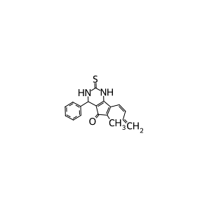 C=C/C=C\C1=C(C)C(=O)C2=C1NC(=S)NC2c1ccccc1